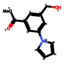 COC(=O)c1cc(CO)cc(-n2cccc2)c1